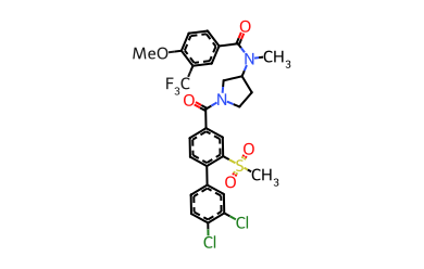 COc1ccc(C(=O)N(C)C2CCN(C(=O)c3ccc(-c4ccc(Cl)c(Cl)c4)c(S(C)(=O)=O)c3)C2)cc1C(F)(F)F